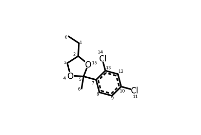 CCC1COC(C)(c2ccc(Cl)cc2Cl)O1